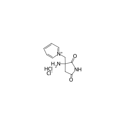 Cl.NC1(C[n+]2ccccc2)CC(=O)NC1=O.[Cl-]